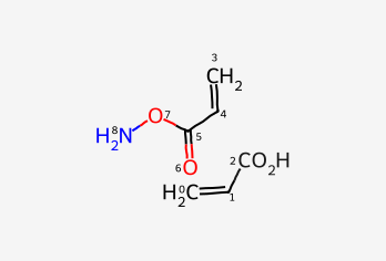 C=CC(=O)O.C=CC(=O)ON